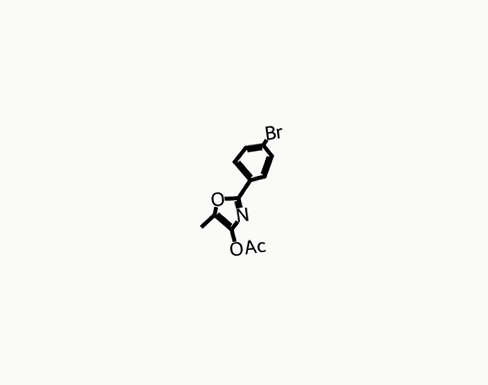 CC(=O)Oc1nc(-c2ccc(Br)cc2)oc1C